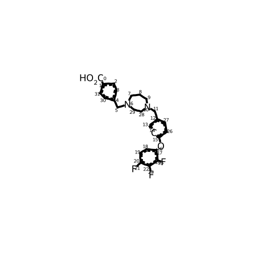 O=C(O)c1ccc(CN2CCCN(Cc3ccc(Oc4ccc(F)c(F)c4F)cc3)CC2)cc1